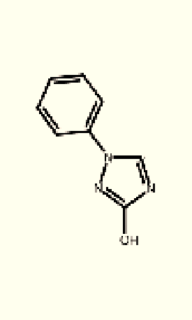 Oc1n[c]n(-c2ccccc2)n1